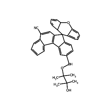 CC(C)(O)C(C)(C)OBc1ccc2c(c1)-c1c(cc(C#N)c3ccccc13)C21c2ccccc2OC2C=CC=CC21